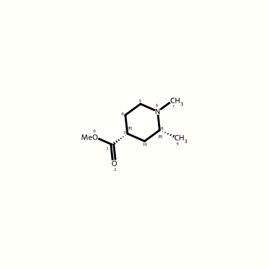 COC(=O)[C@@H]1CCN(C)[C@H](C)C1